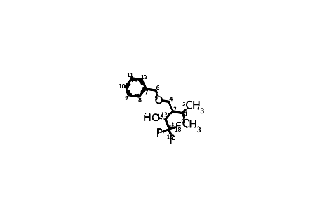 CC(C)[C@H](COCc1ccccc1)[C@@H](O)C(F)(F)F